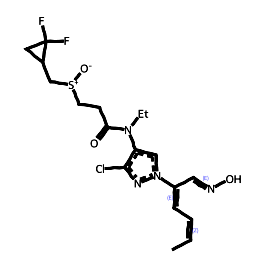 C\C=C/C=C(\C=N\O)n1cc(N(CC)C(=O)CC[S+]([O-])CC2CC2(F)F)c(Cl)n1